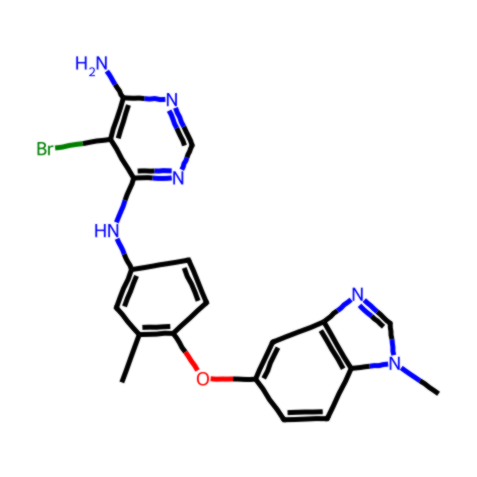 Cc1cc(Nc2ncnc(N)c2Br)ccc1Oc1ccc2c(c1)ncn2C